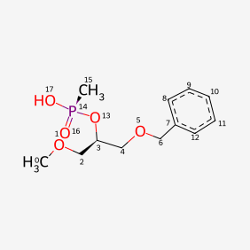 COC[C@H](COCc1ccccc1)O[P@](C)(=O)O